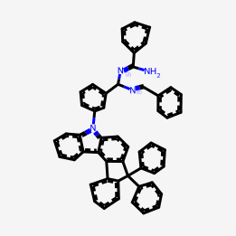 N/C(=N\C(/N=C/c1ccccc1)c1cccc(-n2c3ccccc3c3c4c(ccc32)C(c2ccccc2)(c2ccccc2)c2ccccc2-4)c1)c1ccccc1